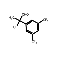 CC(C)([C]=O)c1cc(C(F)(F)F)cc(C(F)(F)F)c1